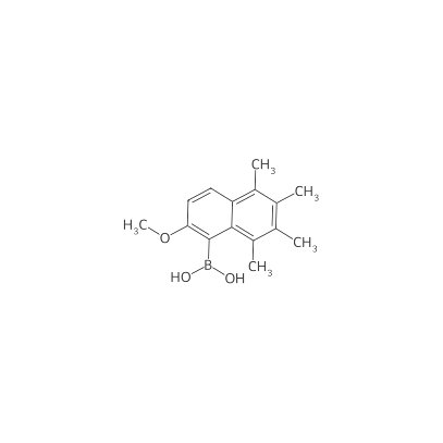 COc1ccc2c(C)c(C)c(C)c(C)c2c1B(O)O